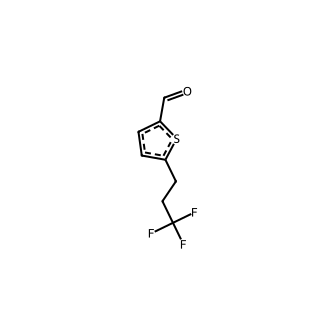 O=Cc1ccc(CCC(F)(F)F)s1